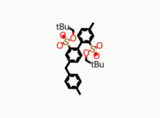 Cc1ccc(Cc2ccc(-c3ccc(C)cc3S(=O)(=O)OCC(C)(C)C)c(S(=O)(=O)OCC(C)(C)C)c2)cc1